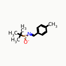 Cc1ccc(C=N[S+]([O-])C(C)(C)C)cc1